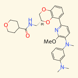 COc1nc(-c2cccc3c2O[C@H](CNC(=O)C2CCOCC2)CO3)ccc1N(C)c1cccc(N(C)C)c1